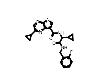 O=C(NC(C(=O)NCc1ccccc1F)C1CC1)c1c[nH]c2ncc(C3CC3)nc12